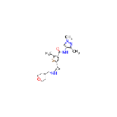 Cc1nn(C)cc1NC(=O)c1cc(C2CC2NCC2CCOCC2)sc1C